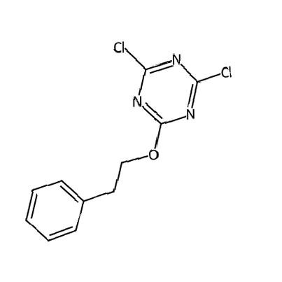 Clc1nc(Cl)nc(OCCc2ccccc2)n1